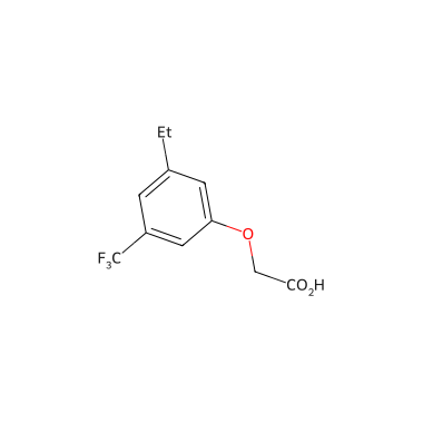 CCc1cc(OCC(=O)O)cc(C(F)(F)F)c1